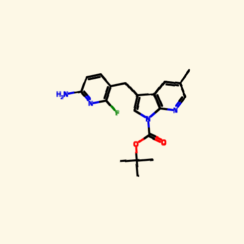 Cc1cnc2c(c1)c(Cc1ccc(N)nc1F)cn2C(=O)OC(C)(C)C